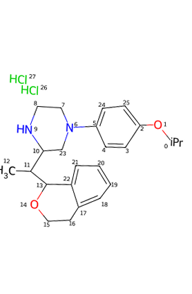 CC(C)Oc1ccc(N2CCNC(C(C)C3OCCc4ccccc43)C2)cc1.Cl.Cl